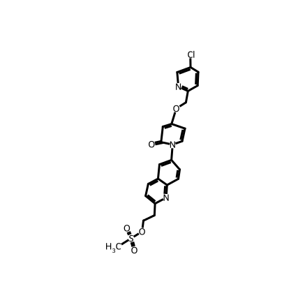 CS(=O)(=O)OCCc1ccc2cc(-n3ccc(OCc4ccc(Cl)cn4)cc3=O)ccc2n1